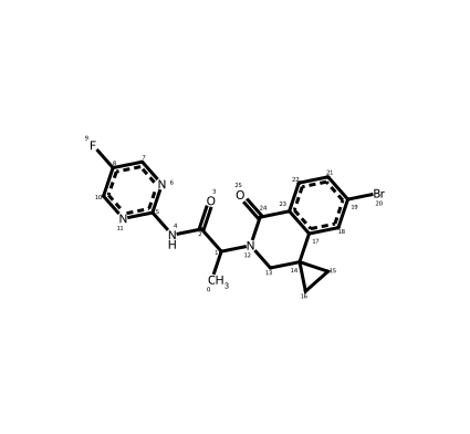 CC(C(=O)Nc1ncc(F)cn1)N1CC2(CC2)c2cc(Br)ccc2C1=O